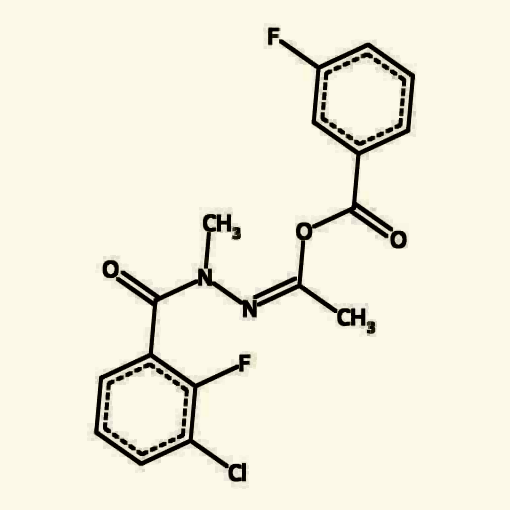 CC(=NN(C)C(=O)c1cccc(Cl)c1F)OC(=O)c1cccc(F)c1